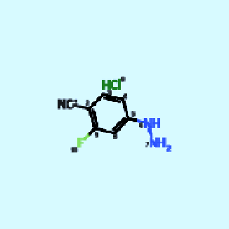 Cl.N#Cc1ccc(NN)cc1F